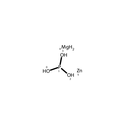 OP(O)O.[MgH2].[Zn]